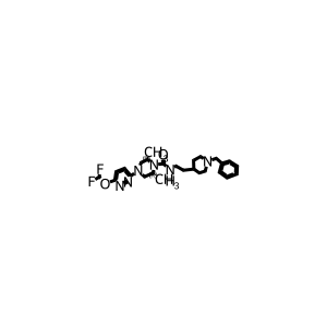 C[C@@H]1CN(c2ccc(OC(F)F)nn2)C[C@@H](C)N1C(=O)NCCC1CCN(Cc2ccccc2)CC1